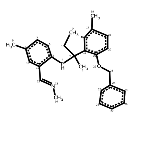 CCC(C)(Pc1ccc(C)cc1/C=N/C)c1cc(C)ccc1OCc1ccccc1